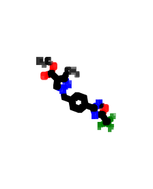 COC(=O)c1cn(Cc2ccc(-c3noc(C(F)(F)F)n3)cc2)nc1C